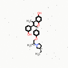 CC[C@@H]1CCN([C@@H](C)COc2ccc([C@H]3Oc4ccc(O)cc4C(C)=C3c3cccc(O)c3)cc2)C1